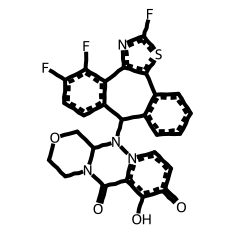 O=C1c2c(O)c(=O)ccn2N(C2c3ccccc3-c3sc(F)nc3-c3c2ccc(F)c3F)C2COCCN12